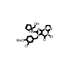 CCN1C(=O)c2c(nc(NC3(CO)CC=CC3)n2Cc2ccc(OC)c(Cl)c2)N2CCN=C12